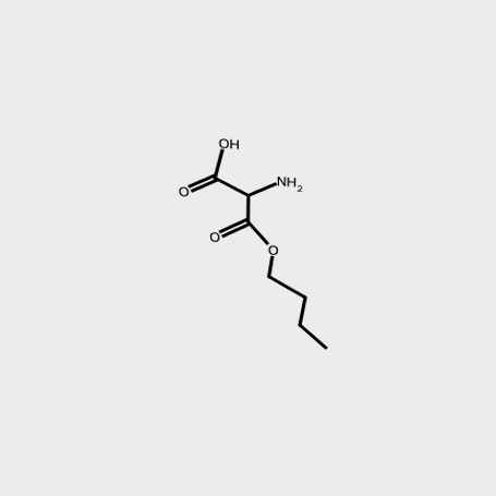 CCCCOC(=O)C(N)C(=O)O